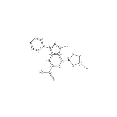 Cc1nn(-c2ccccc2)c2nc(C(=O)O)cc(N3CC[C@H](F)C3)c12